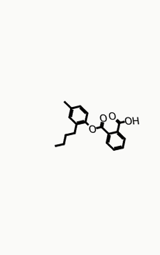 CCCCc1cc(C)ccc1OC(=O)c1ccccc1C(=O)O